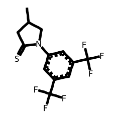 CC1CC(=S)N(c2cc(C(F)(F)F)cc(C(F)(F)F)c2)C1